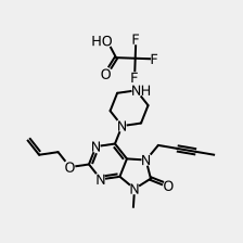 C=CCOc1nc(N2CCNCC2)c2c(n1)n(C)c(=O)n2CC#CC.O=C(O)C(F)(F)F